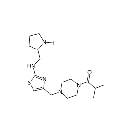 CC(C)C(=O)N1CCN(Cc2csc(NCC3CCCN3I)n2)CC1